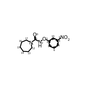 O=C(NOc1cccc([N+](=O)[O-])c1)N1CCCCCC1